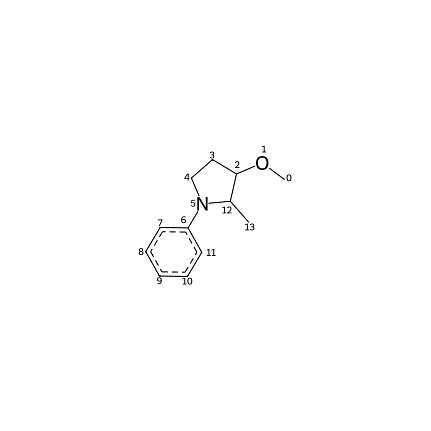 COC1CCN(c2ccccc2)C1C